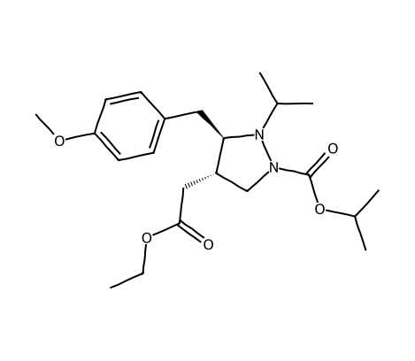 CCOC(=O)C[C@H]1CN(C(=O)OC(C)C)N(C(C)C)[C@@H]1Cc1ccc(OC)cc1